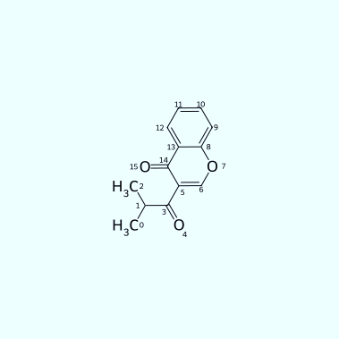 CC(C)C(=O)c1coc2ccccc2c1=O